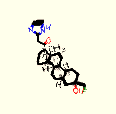 C[C@]12CC[C@H]3[C@@H](CC[C@@H]4C[C@@](O)(CF)CC[C@@H]43)[C@@H]1CC[C@@H]2C(=O)Cc1ncc[nH]1